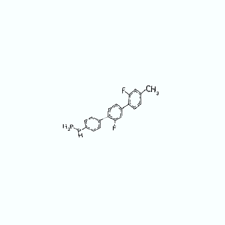 Cc1ccc(-c2ccc(-c3ccc(PP)cc3)c(F)c2)c(F)c1